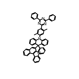 Cc1cc(N2c3ccccc3C(c3ccccc3)(c3cc4ccccc4c4c3oc3ccccc34)c3ccccc32)c(C)cc1-c1nc(-c2ccccc2)nc(-c2ccccc2)n1